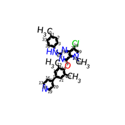 Cc1ccc(Nc2nc(Oc3c(C)cc(-c4ccncc4)cc3C)c3c(n2)c(Cl)cn3C)cc1